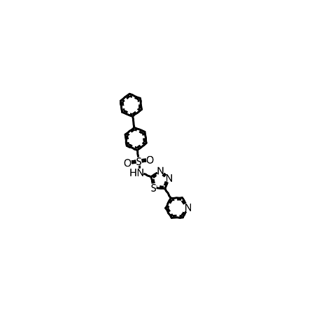 O=S(=O)(Nc1nnc(-c2cccnc2)s1)c1ccc(-c2ccccc2)cc1